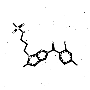 Cc1ccc(C(=O)c2cc3cc(C)n(CCCNS(C)(=O)=O)c3s2)c(F)c1